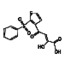 O=C(O)/C(O)=C/C(=O)c1ccsc1S(=O)(=O)c1ccccc1